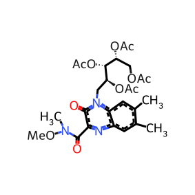 CON(C)C(=O)c1nc2cc(C)c(C)cc2n(C[C@H](OC(C)=O)[C@H](OC(C)=O)[C@@H](COC(C)=O)OC(C)=O)c1=O